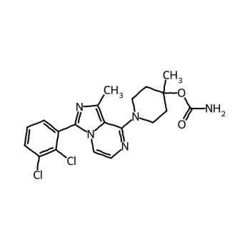 Cc1nc(-c2cccc(Cl)c2Cl)n2ccnc(N3CCC(C)(OC(N)=O)CC3)c12